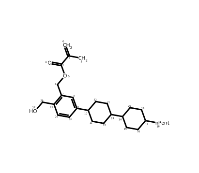 C=C(C)C(=O)OCc1cc(C2CCC(C3CCC(CCCCC)CC3)CC2)ccc1CO